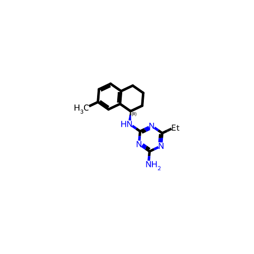 CCc1nc(N)nc(N[C@@H]2CCCc3ccc(C)cc32)n1